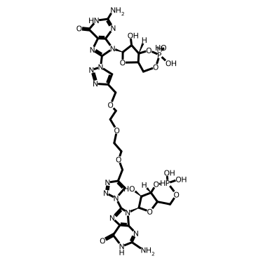 Nc1nc2c(nc(-n3cc(COCCOCCOCc4cn(-c5nc6c(=O)[nH]c(N)nc6n5[C@@H]5OC6CO[PH](O)(O)O[C@H]6[C@@H]5O)nn4)nn3)n2[C@@H]2OC3CO[PH](O)(O)O[C@H]3C2O)c(=O)[nH]1